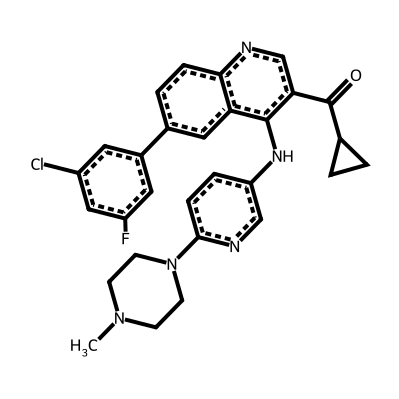 CN1CCN(c2ccc(Nc3c(C(=O)C4CC4)cnc4ccc(-c5cc(F)cc(Cl)c5)cc34)cn2)CC1